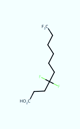 O=C(O)CCC(F)(F)CCCCCC(F)(F)F